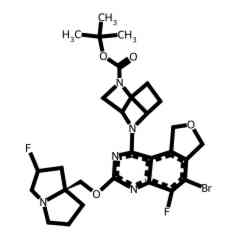 CC(C)(C)OC(=O)N1CC2N(c3nc(OC[C@@]45CCCN4CC(F)C5)nc4c(F)c(Br)c5c(c34)COC5)C3CCC321